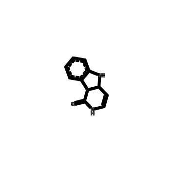 O=C1NC=CC2Nc3ccccc3C12